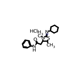 CC1S/C(=N\C2CCCCC2)N(C)C1CC(=O)Nc1ccccc1.Cl